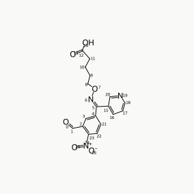 O=Cc1cc(C(=NOCCCCC(=O)O)c2cccnc2)ccc1[N+](=O)[O-]